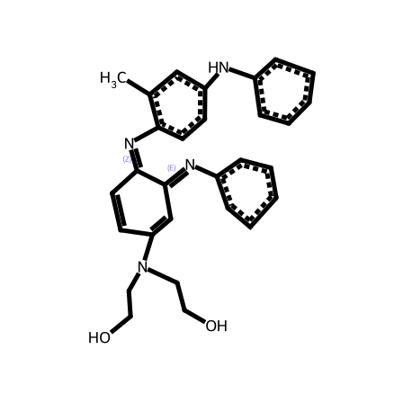 Cc1cc(Nc2ccccc2)ccc1/N=C1/C=CC(N(CCO)CCO)=C/C1=N\c1ccccc1